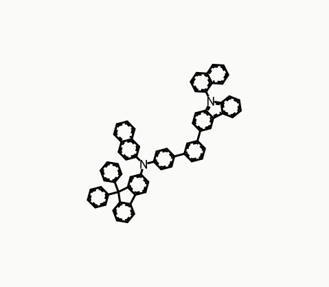 c1ccc(C2(c3ccccc3)c3ccccc3-c3ccc(N(c4ccc(-c5cccc(-c6ccc7c(c6)c6ccccc6n7-c6cccc7ccccc67)c5)cc4)c4ccc5ccccc5c4)cc32)cc1